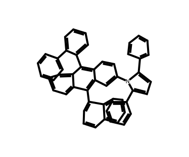 c1ccc(-c2ccccc2-c2c3ccccc3c(-c3cccc4ccccc34)c3cc(-n4c(-c5ccccc5)ccc4-c4ccccc4)ccc23)cc1